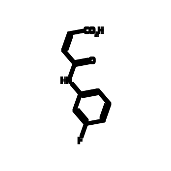 O=C(O)/C=C\C(=O)Nc1cccc(F)c1